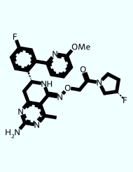 COc1cccc(-c2cc(F)ccc2[C@H]2Cc3nc(N)nc(C)c3/C(=N/OCC(=O)N3CC[C@H](F)C3)N2)n1